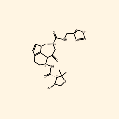 CC(=O)N1CSC(C)(C)[C@H]1C(=O)N[C@H]1CCc2ccn3c2C1C(=O)C[C@H](C(=O)NCc1c[nH]nn1)C3